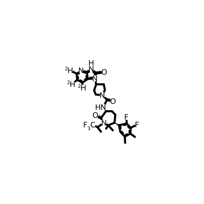 [2H]c1nc2[nH]c(=O)n(C3CCN(C(=O)N[C@@H]4CC[C@@H](c5cc(C)c(C)c(F)c5F)C(C)(C)N(C(C)C(F)(F)F)C4=O)CC3)c2c([2H])c1[2H]